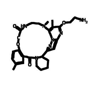 Cc1ccc2c(c1)C(=O)N1CCCCC1c1cc3nc(OCCN)c(C)c(n3n1)N(C)CCNC(=O)CO2